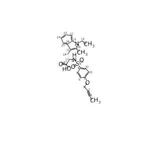 CC#CCOc1ccc(S(=O)(=O)N[C@@H](Cc2c(C)n(CC)c3ccccc23)C(=O)O)cc1